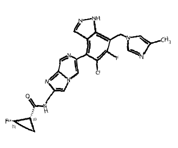 Cc1cn(Cc2c(F)c(Cl)c(-c3cn4cc(NC(=O)[C@@H]5C[C@@H]5F)nc4cn3)c3cn[nH]c23)cn1